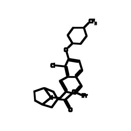 CC(C)OC(=O)C1CC2CCC(C1)N2Cc1ccc2ccc(OC3CCC(C(F)(F)F)CC3)c(Cl)c2c1